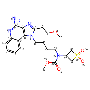 COCCc1nc2c(N)nc3ccccc3c2n1CCCCN(C(=O)OC)C1CS(=O)(=O)C1